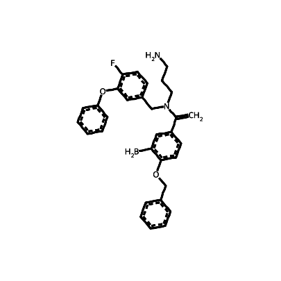 Bc1cc(C(=C)N(CCCN)Cc2ccc(F)c(Oc3ccccc3)c2)ccc1OCc1ccccc1